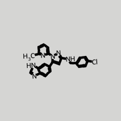 Cc1cccc(-n2nc(NCc3ccc(Cl)cc3)cc2-c2ccc3nc[nH]c3c2)n1